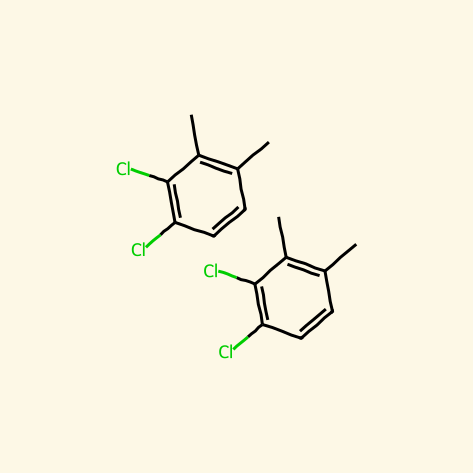 Cc1ccc(Cl)c(Cl)c1C.Cc1ccc(Cl)c(Cl)c1C